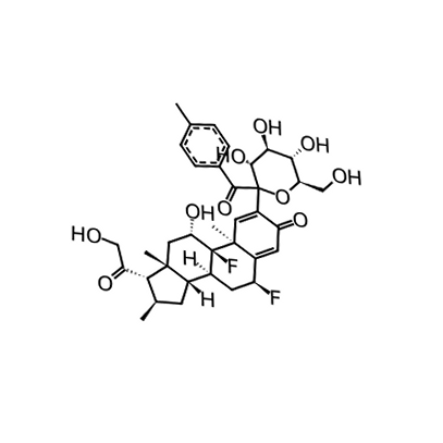 Cc1ccc(C(=O)C2(C3=C[C@@]4(C)C(=CC3=O)[C@@H](F)C[C@H]3[C@@H]5C[C@@H](C)[C@H](C(=O)CO)[C@]5(C)C[C@H](O)[C@@]34F)O[C@H](CO)[C@@H](O)[C@H](O)[C@H]2O)cc1